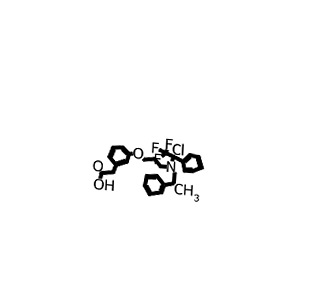 CC(CN(CCCOc1cccc(CC(=O)O)c1)[C@@](Cl)(c1ccccc1)C(F)(F)F)c1ccccc1